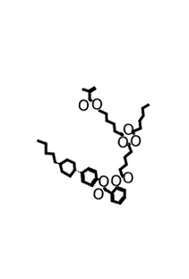 C=C(C)C(=O)OCCCCCC(=O)OC(CCCCC(=O)Oc1ccccc1C(=O)Oc1ccc([C@H]2CC[C@H](CCCCC)CC2)cc1)OCCCCCC